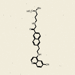 CC(C)(C)N(CCCNCC(=O)c1ccc2cc(CCNc3ccnc4ccc(C#N)cc34)ccc2c1)C(=O)O